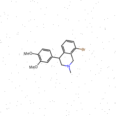 COc1ccc(C2CN(C)Cc3c(Br)cccc32)cc1OC